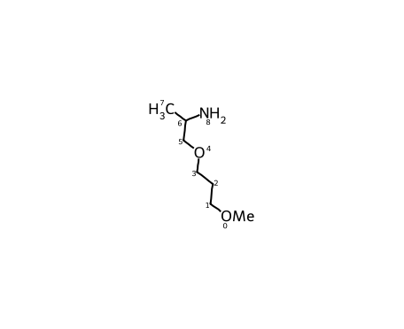 COCCCOCC(C)N